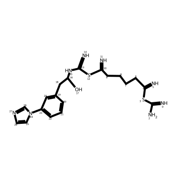 N=C(N)SC(=N)CCCCC(=N)SC(=N)NC(O)Cc1cccc(-n2ccnc2)c1